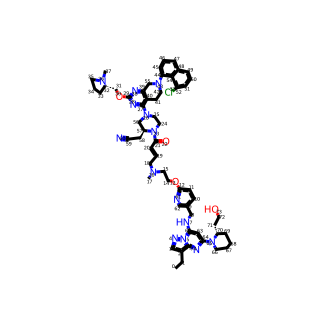 CCc1cnn2c(NCc3ccc(OCCN(C)C/C=C/C(=O)N4CCN(c5nc(OC[C@@H]6CCCN6C)nc6c5CCN(c5cccc7cccc(Cl)c57)C6)C[C@@H]4CC#N)nc3)cc(N3CCCC[C@H]3CCO)nc12